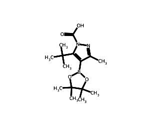 Cc1nn(C(=O)O)c(C(C)(C)C)c1B1OC(C)(C)C(C)(C)O1